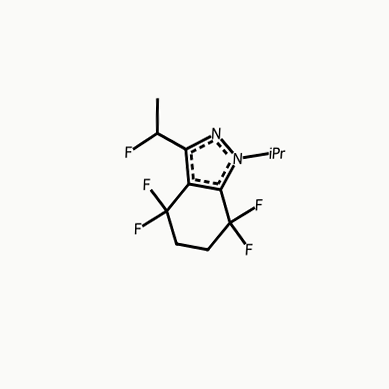 CC(F)c1nn(C(C)C)c2c1C(F)(F)CCC2(F)F